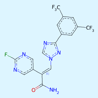 NC(=O)/C(=C/n1cnc(-c2cc(C(F)(F)F)cc(C(F)(F)F)c2)n1)c1cnc(F)nc1